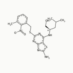 Cc1cccc(CSc2nc(N[C@@H](CO)CC(C)C)c3sc(N)nc3n2)c1[N+](=O)[O-]